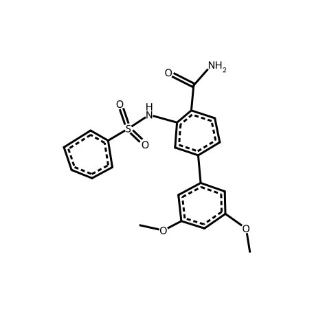 COc1cc(OC)cc(-c2ccc(C(N)=O)c(NS(=O)(=O)c3ccccc3)c2)c1